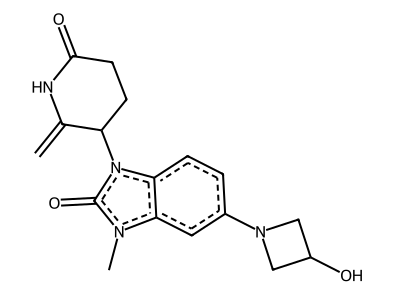 C=C1NC(=O)CCC1n1c(=O)n(C)c2cc(N3CC(O)C3)ccc21